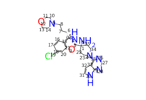 NC1(C(=O)N[C@@H](CCCN2CCOCC2)c2ccc(Cl)cc2)CCN(c2ncnc3[nH]ccc23)CC1